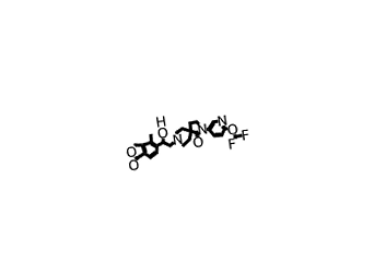 Cc1c(C(O)CN2CCC3(CC2)CCN(c2ccc(OC(F)F)nc2)C3=O)ccc2c1COC2=O